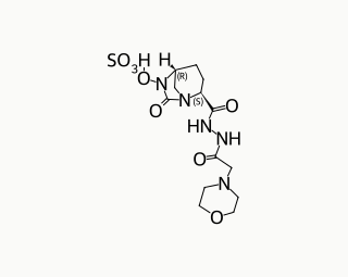 O=C(CN1CCOCC1)NNC(=O)[C@@H]1CC[C@@H]2CN1C(=O)N2OS(=O)(=O)O